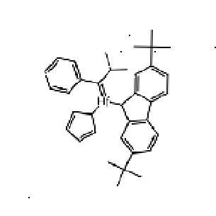 CC(C)[C](c1ccccc1)=[Hf]([CH]1C=CC=C1)[CH]1c2cc(C(C)(C)C)ccc2-c2ccc(C(C)(C)C)cc21